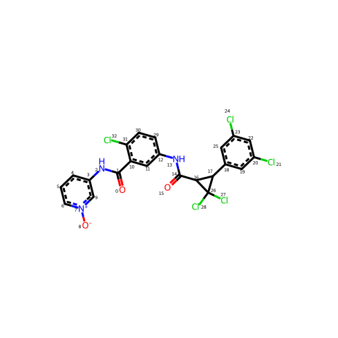 O=C(Nc1ccc[n+]([O-])c1)c1cc(NC(=O)C2C(c3cc(Cl)cc(Cl)c3)C2(Cl)Cl)ccc1Cl